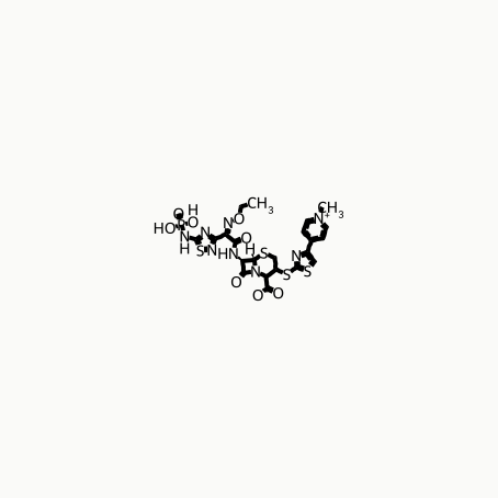 CCO/N=C(\C(=O)N[C@@H]1C(=O)N2C(C(=O)[O-])C(Sc3nc(-c4cc[n+](C)cc4)cs3)CS[C@H]12)c1nsc(NP(=O)(O)O)n1